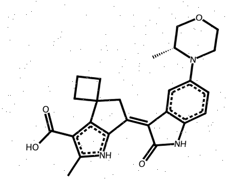 Cc1[nH]c2c(c1C(=O)O)C1(CCC1)C/C2=C1/C(=O)Nc2ccc(N3CCOC[C@H]3C)cc21